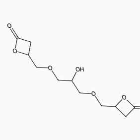 O=C1CC(COCC(O)COCC2CC(=O)O2)O1